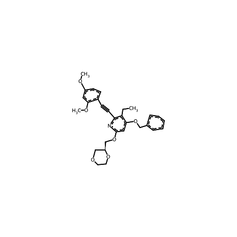 CCc1c(OCc2ccccc2)cc(OC[C@@H]2COCCO2)nc1C#Cc1ccc(OC)cc1OC